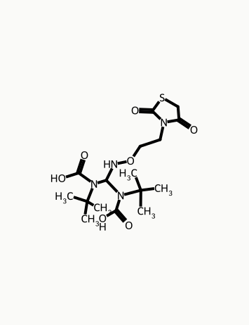 CC(C)(C)N(C(=O)O)C(NOCCN1C(=O)CSC1=O)N(C(=O)O)C(C)(C)C